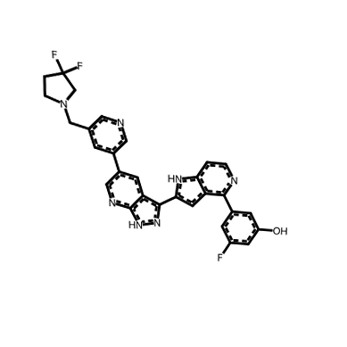 Oc1cc(F)cc(-c2nccc3[nH]c(-c4n[nH]c5ncc(-c6cncc(CN7CCC(F)(F)C7)c6)cc45)cc23)c1